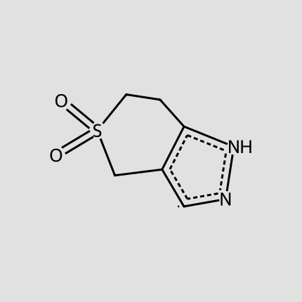 O=S1(=O)CCc2[nH]n[c]c2C1